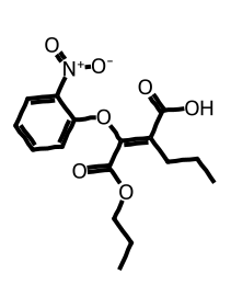 CCCOC(=O)C(Oc1ccccc1[N+](=O)[O-])=C(CCC)C(=O)O